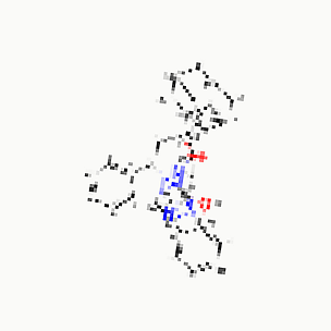 OC(CC1c2ccccc2-c2cncn21)C12CC3CC(C1)C(CCNc1nc4ccccc4o1)C(C3)C2